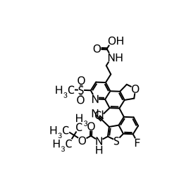 CC(C)(C)OC(=O)Nc1sc2c(F)ccc(-c3c4c(c5c(CCNC(=O)O)cc(S(C)(=O)=O)nc5c3Cl)COC4)c2c1C#N